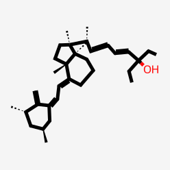 C=C1/C(=C\C=C2/CCC[C@@]3(C)[C@@]2(C)CC[C@@]3(C)[C@H](C)/C=C/C=C/C(O)(CC)CC)C[C@@H](C)C[C@@H]1C